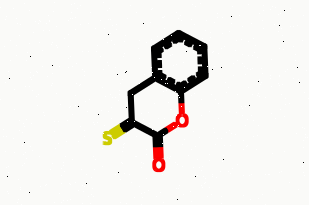 O=C1Oc2ccccc2CC1=S